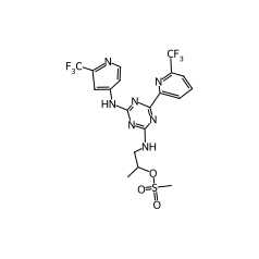 CC(CNc1nc(Nc2ccnc(C(F)(F)F)c2)nc(-c2cccc(C(F)(F)F)n2)n1)OS(C)(=O)=O